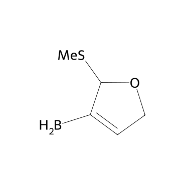 BC1=CCOC1SC